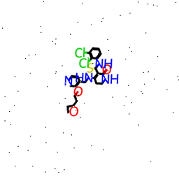 O=C1NCCC(NCc2ccncc2OCCC2CCO2)=C1C(=S)Nc1cccc(Cl)c1Cl